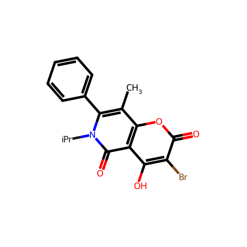 Cc1c(-c2ccccc2)n(C(C)C)c(=O)c2c(O)c(Br)c(=O)oc12